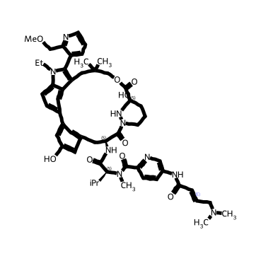 CCn1c(-c2cccnc2COC)c2c3cc(ccc31)-c1cc(O)cc(c1)C[C@H](NC(=O)[C@H](C(C)C)N(C)C(=O)c1ccc(NC(=O)/C=C/CN(C)C)cn1)C(=O)N1CCC[C@@](O)(N1)C(=O)OCC(C)(C)C2